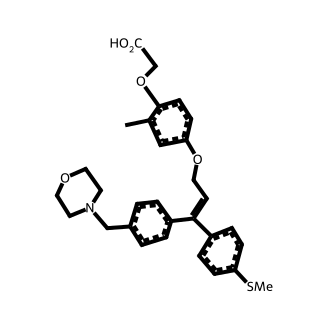 CSc1ccc(/C(=C/COc2ccc(OCC(=O)O)c(C)c2)c2ccc(CN3CCOCC3)cc2)cc1